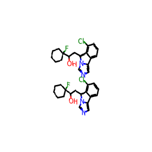 OC(CC1c2c(Cl)cccc2-c2cncn21)C1(F)CCCCC1.OC(CC1c2c(Cl)cccc2-c2cncn21)C1(F)CCCCC1